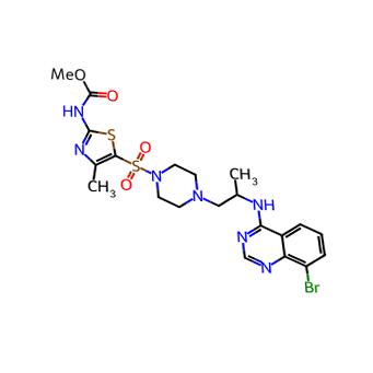 COC(=O)Nc1nc(C)c(S(=O)(=O)N2CCN(CC(C)Nc3ncnc4c(Br)cccc34)CC2)s1